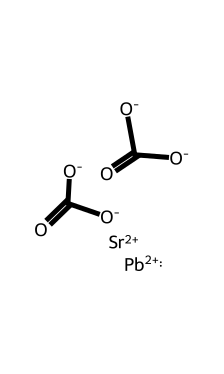 O=C([O-])[O-].O=C([O-])[O-].[Pb+2].[Sr+2]